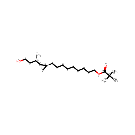 C[C@@H](CCO)[C@H]1C[C@@H]1CCCCCCCCCOC(=O)C(C)(C)C